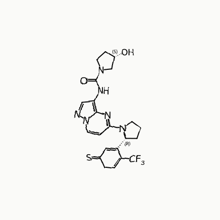 O=C(Nc1cnn2ccc(N3CCC[C@@H]3C3=CC(=S)CC=C3C(F)(F)F)nc12)N1CC[C@H](O)C1